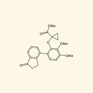 COC(=O)C1(Oc2c(-c3cccc4c3CCC4=O)ccc(OC)c2OC)CC1